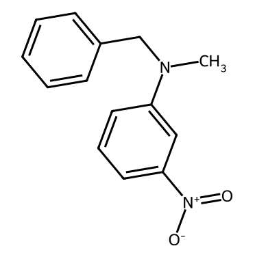 CN(Cc1ccccc1)c1cccc([N+](=O)[O-])c1